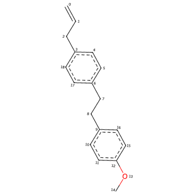 C=CCc1ccc(CCc2ccc(OC)cc2)cc1